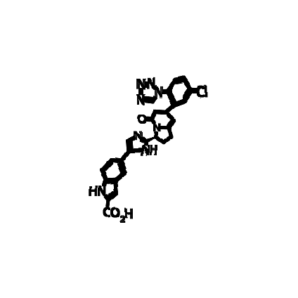 O=C(O)c1cc2cc(-c3cnc([C@@H]4CCc5cc(-c6cc(Cl)ccc6-n6cnnn6)cc(=O)n54)[nH]3)ccc2[nH]1